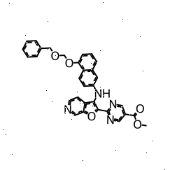 COC(=O)c1cnc(-c2oc3cnccc3c2Nc2ccc3c(OCOCc4ccccc4)cccc3c2)nc1